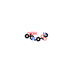 O=C(O)C1(c2ccccc2)CCN(Cc2ccc(C3COc4cccnc4O3)cc2)CC1